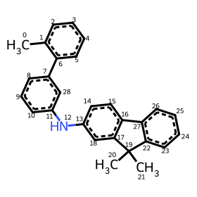 Cc1ccccc1-c1cccc(Nc2ccc3c(c2)C(C)(C)c2ccccc2-3)c1